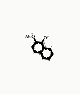 COc1ccc2ccccc2c1[O]